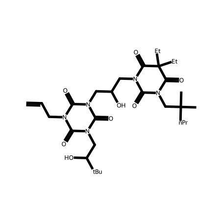 C=CCn1c(=O)n(CC(O)CN2C(=O)N(CC(C)(C)CCC)C(=O)C(CC)(CC)C2=O)c(=O)n(CC(O)C(C)(C)C)c1=O